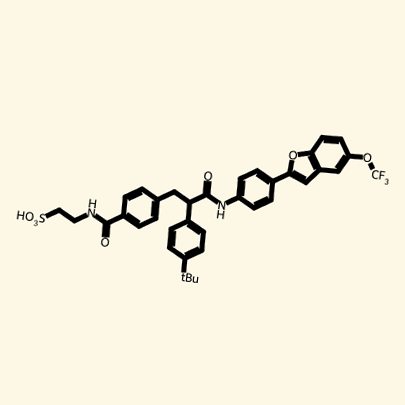 CC(C)(C)c1ccc(C(Cc2ccc(C(=O)NCCS(=O)(=O)O)cc2)C(=O)Nc2ccc(-c3cc4cc(OC(F)(F)F)ccc4o3)cc2)cc1